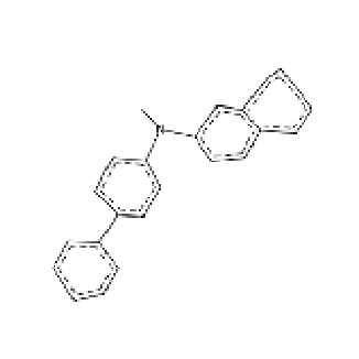 CN(c1ccc(-c2ccccc2)cc1)c1ccc2ccccc2c1